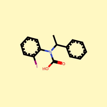 CC(c1ccccc1)N(C(=O)O)c1ccccc1I